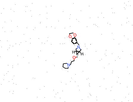 c1cc2c(cc1CN1C[C@@H]3[C@H](COCCCN4CCCCC4)[C@@H]3C1)OCCO2